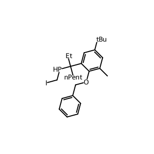 CCCCCC(CC)(PCI)c1cc(C(C)(C)C)cc(C)c1OCc1ccccc1